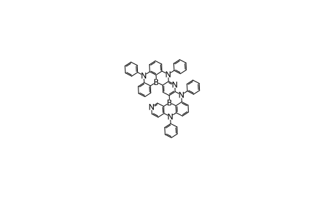 c1ccc(N2c3ccccc3B3c4cc5c(nc4N(c4ccccc4)c4cccc2c43)N(c2ccccc2)c2cccc3c2B5c2cnccc2N3c2ccccc2)cc1